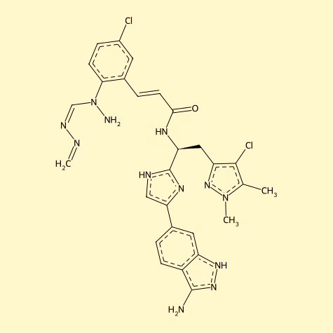 C=N/N=C\N(N)c1ccc(Cl)cc1/C=C/C(=O)N[C@@H](Cc1nn(C)c(C)c1Cl)c1nc(-c2ccc3c(N)n[nH]c3c2)c[nH]1